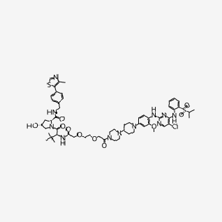 COc1cc(N2CCC(N3CCN(C(=O)COCCOCC(=O)N[C@H](C(=O)N4C[C@H](O)C[C@H]4C(=O)NCc4ccc(-c5scnc5C)cc4)C(C)(C)C)CC3)CC2)ccc1Nc1ncc(Cl)c(Nc2ccccc2S(=O)(=O)C(C)C)n1